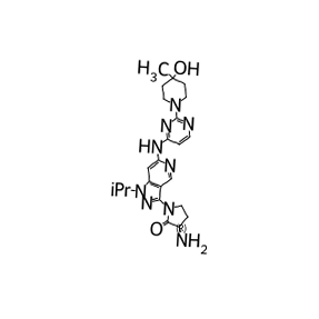 CC(C)n1nc(N2CC[C@@H](N)C2=O)c2cnc(Nc3ccnc(N4CCC(C)(O)CC4)n3)cc21